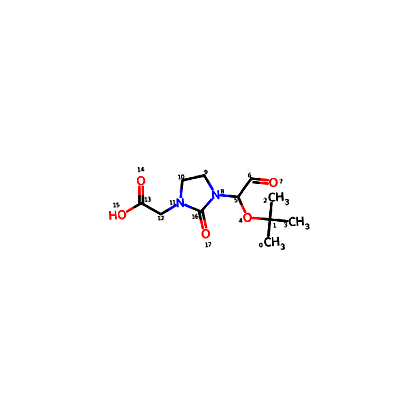 CC(C)(C)OC(C=O)N1CCN(CC(=O)O)C1=O